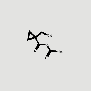 NC(=O)OC(=O)C1(CO)CC1